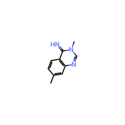 Cc1ccc2c(=N)n(C)cnc2c1